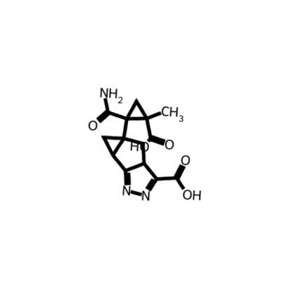 CC1(C(=O)O)CC1(C(N)=O)C12CC3C(C(=O)O)=NN=C3C1C2